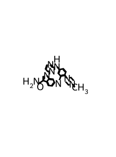 CN1CCN(c2ccc(Nc3nccc(-n4cc(C(N)=O)c5ccccc54)n3)cc2C#N)CC1